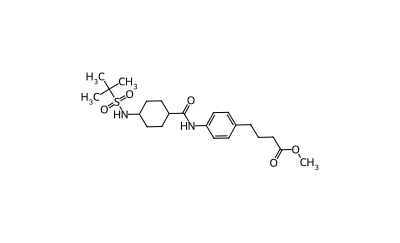 COC(=O)CCCc1ccc(NC(=O)C2CCC(NS(=O)(=O)C(C)(C)C)CC2)cc1